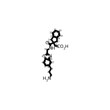 NCCCc1ccc2sc(CNC(=O)C3(CC(=O)O)Cc4ccccc4C3)nc2c1